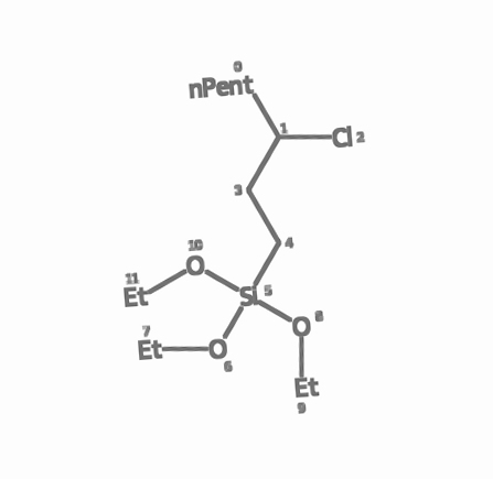 CCCCCC(Cl)CC[Si](OCC)(OCC)OCC